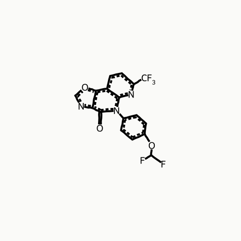 O=c1c2ncoc2c2ccc(C(F)(F)F)nc2n1-c1ccc(OC(F)F)cc1